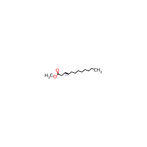 CCCCCCCC/C=C/CC(=O)OC